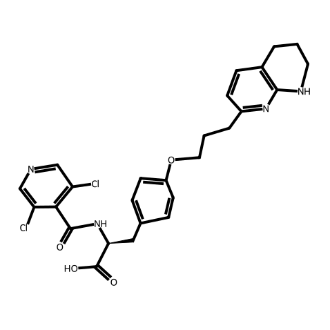 O=C(N[C@@H](Cc1ccc(OCCCc2ccc3c(n2)NCCC3)cc1)C(=O)O)c1c(Cl)cncc1Cl